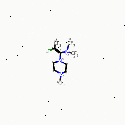 F/C(=C(\N1CCN(C(F)(F)F)CC1)N(C(F)(F)F)C(F)(F)F)C(F)(F)F